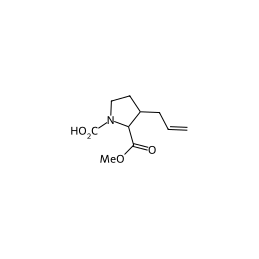 C=CCC1CCN(C(=O)O)C1C(=O)OC